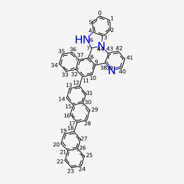 c1ccc2c(c1)NC1c3c(cc(-c4ccc5cc(-c6ccc7ccccc7c6)ccc5c4)c4ccccc34)-c3ncccc3N21